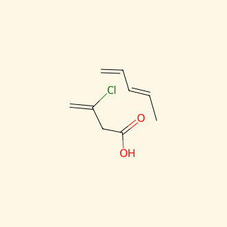 C=C(Cl)CC(=O)O.C=CC=CC